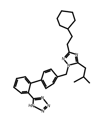 CC(C)Cc1nc(CCC2CCCCC2)nn1Cc1ccc(-c2ccccc2-c2nnn[nH]2)cc1